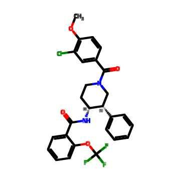 COc1ccc(C(=O)N2CC[C@@H](NC(=O)c3ccccc3OC(F)(F)F)[C@@H](c3ccccc3)C2)cc1Cl